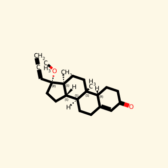 C=C=C[C@]1(OC)CC[C@H]2[C@@H]3CCC4=CC(=O)CC[C@@H]4[C@@]3(C)CC[C@@]21C